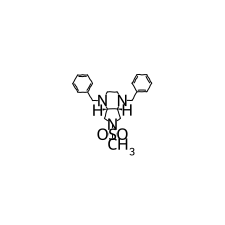 CS(=O)(=O)N1C[C@@H]2[C@H](C1)N(Cc1ccccc1)CCN2Cc1ccccc1